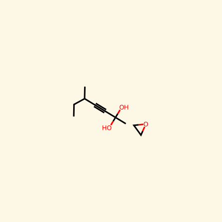 C1CO1.CCC(C)C#CC(C)(O)O